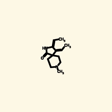 C/C=C1\C(=C/C)NC(=O)C12CCN(C)CC2